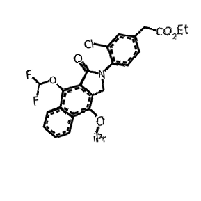 CCOC(=O)Cc1ccc(N2Cc3c(c(OC(F)F)c4ccccc4c3OC(C)C)C2=O)c(Cl)c1